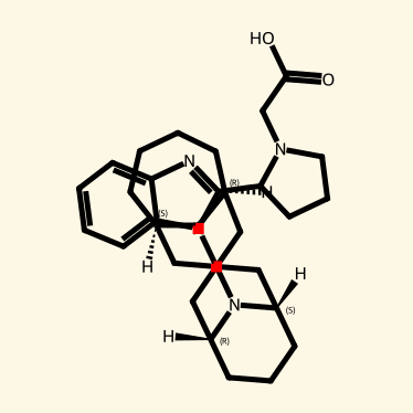 O=C(O)CN1CCCC1c1nc2ccccc2n1C1C[C@H]2CCC[C@@H](C1)N2C1C[C@H]2CCCC[C@@H](C1)C2